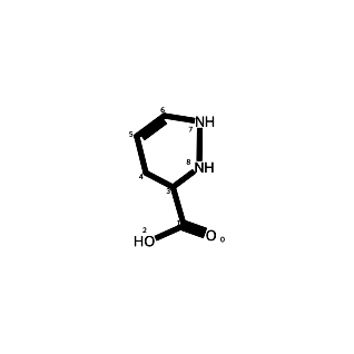 O=C(O)C1CC=CNN1